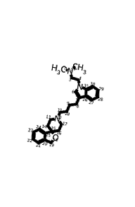 CN(C)CCn1cc(CCCCN2CCC3(CC2)OCc2ccccc23)c2ccccc21